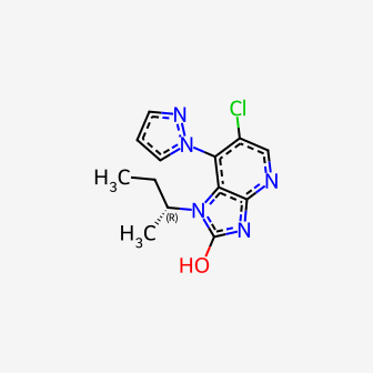 CC[C@@H](C)n1c(O)nc2ncc(Cl)c(-n3cccn3)c21